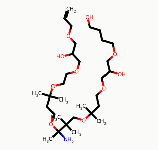 C=CCOCC(O)COCCOC(C)(C)CCOC(C)(N)C(C)(C)COC(C)(C)CCOCC(O)COCCCCO